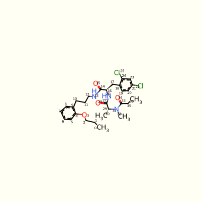 CCCOc1ccccc1CCCNC(=O)[C@@H](Cc1ccc(Cl)cc1Cl)NC(=O)[C@@H](C)N(C)C(=O)CC